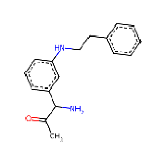 CC(=O)C(N)c1cccc(NCCc2ccccc2)c1